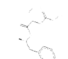 CC(C)(C)OC(=O)N[C@@H](CC(=O)O)C(=O)N[C@@H](Cc1ccccc1)C(=O)O